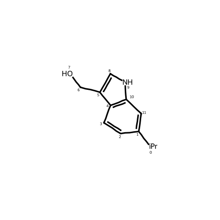 CC(C)c1ccc2c(CO)c[nH]c2c1